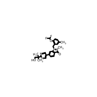 Cc1ccc(OC(F)F)c(Cn2c3cc(-c4cnc(C(C)(C)CO)nc4)ccc3c(=O)n2C)c1